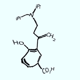 C=C(CCN(C(C)C)C(C)C)c1cc(C(=O)O)ccc1O